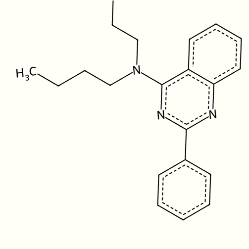 CCCCN(CCO)c1nc(-c2ccccc2)nc2ccccc12